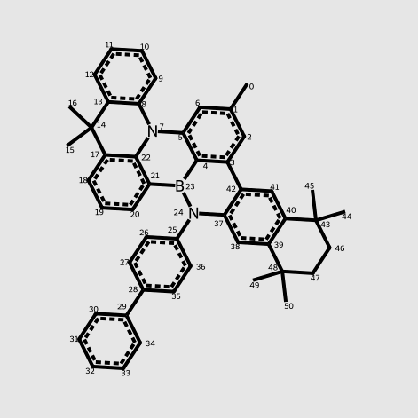 Cc1cc2c3c(c1)N1c4ccccc4C(C)(C)c4cccc(c41)B3N(c1ccc(-c3ccccc3)cc1)c1cc3c(cc1-2)C(C)(C)CCC3(C)C